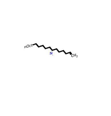 C=CCCCCCCCCCCCCCCCCCC.[N]